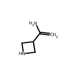 C=C(N)C1CNC1